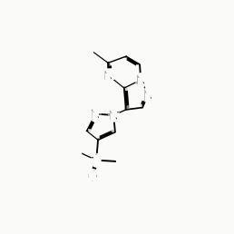 Cc1ccn2ncc(-n3cc(P(C)(C)=O)cn3)c2n1